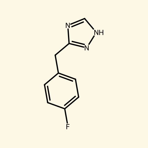 Fc1ccc(Cc2nc[nH]n2)cc1